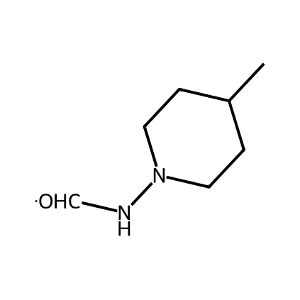 CC1CCN(N[C]=O)CC1